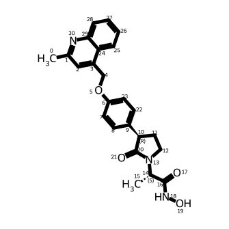 Cc1cc(COc2ccc([C@H]3CCN([C@@H](C)C(=O)NO)C3=O)cc2)c2ccccc2n1